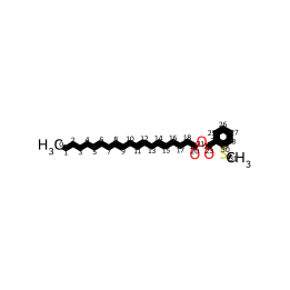 CCCCCC=CCC=CCC=CCC=CCCCC(=O)OC(=O)c1ccccc1SC